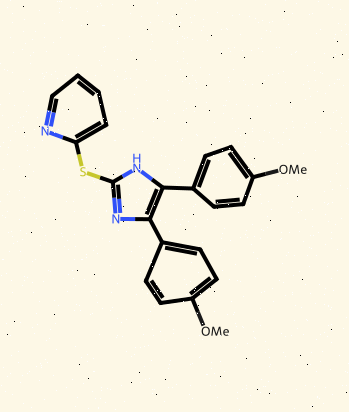 COc1ccc(-c2nc(Sc3ccccn3)[nH]c2-c2ccc(OC)cc2)cc1